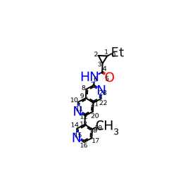 CCC1CC1C(=O)Nc1cc2cnc(-c3cnccc3C)cc2cn1